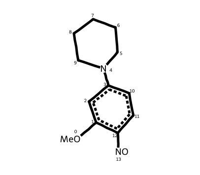 COc1cc(N2CCCCC2)ccc1N=O